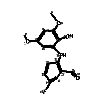 COc1cc(OC)c(O)c(Pc2ccc(F)cc2C=O)c1